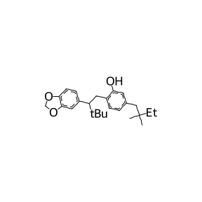 CCC(C)(C)Cc1ccc(CC(c2ccc3c(c2)OCO3)C(C)(C)C)c(O)c1